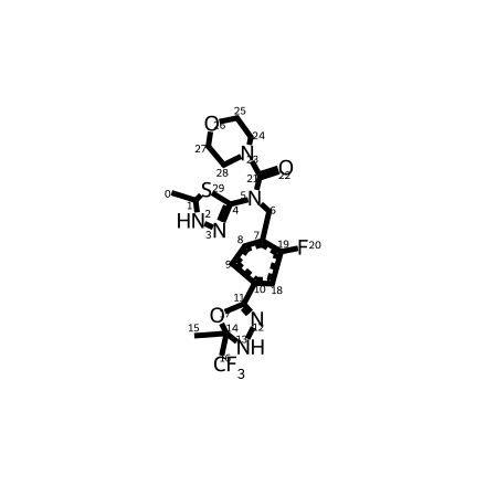 CC1NN=C(N(Cc2ccc(C3=NNC(C)(C(F)(F)F)O3)cc2F)C(=O)N2CCOCC2)S1